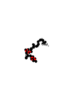 C=Cc1c(/C=C\C)n(-c2ccc3oc4ccc(-c5cccc(-c6ccc7oc8ccc(-n9c%10ccccc%10c%10cc(-c%11ccc%12c(c%11)c%11ccccc%11n%12-c%11cccc([Si](c%12ccccc%12)(c%12ccccc%12)c%12cccc(-c%13cc(-c%14ccc%15c(c%14)sc%14c([Si](c%16ccccc%16)(c%16ccccc%16)c%16cccc%17c%16sc%16ccccc%16%17)cccc%14%15)cc%14c%13sc%13ccccc%13%14)c%12)c%11)ccc%109)cc8c7c6)c5)cc4c3c2)c2ccccc12